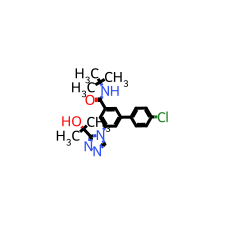 CC(C)(C)NC(=O)c1cc(-c2ccc(Cl)cc2)cc(-n2cnnc2C(C)(C)O)c1